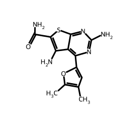 Cc1cc(-c2nc(N)nc3sc(C(N)=O)c(N)c23)oc1C